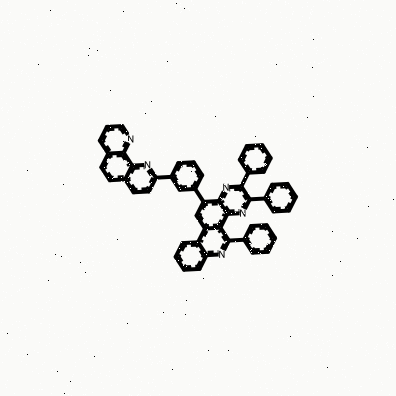 c1ccc(-c2nc3c(-c4cccc(-c5ccc6ccc7cccnc7c6n5)c4)cc4c5ccccc5nc(-c5ccccc5)c4c3nc2-c2ccccc2)cc1